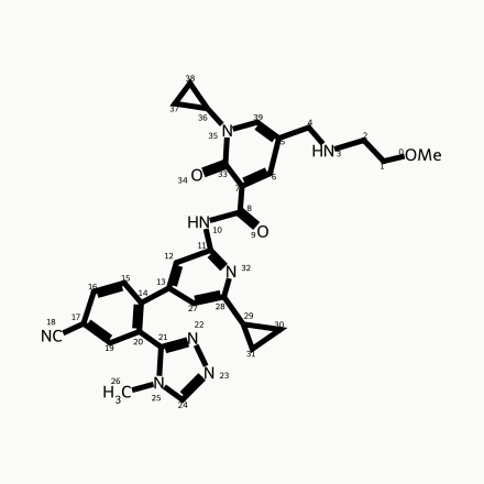 COCCNCc1cc(C(=O)Nc2cc(-c3ccc(C#N)cc3-c3nncn3C)cc(C3CC3)n2)c(=O)n(C2CC2)c1